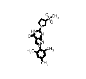 Cc1cc(C)c(-n2cc3c(=O)[nH]c(N4CCC(S(C)(=O)=O)C4)nc3n2)c(C)c1